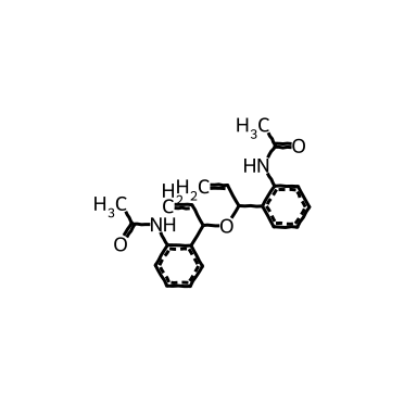 C=CC(OC(C=C)c1ccccc1NC(C)=O)c1ccccc1NC(C)=O